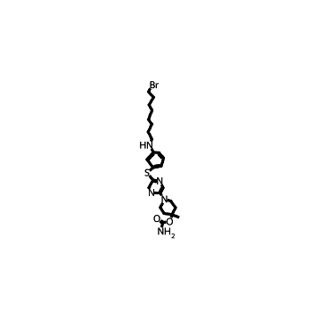 CC1(OC(N)=O)CCN(c2cnc(Sc3cccc(NCCCCCCCCBr)c3)cn2)CC1